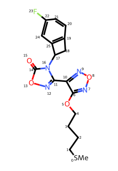 CSCCCCOc1nonc1-c1noc(=O)n1C1Cc2ccc(F)cc21